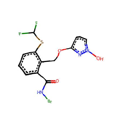 O=C(NBr)c1cccc(SC(F)F)c1COc1ccn(O)n1